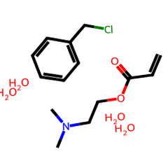 C=CC(=O)OCCN(C)C.ClCc1ccccc1.O.O.O.O